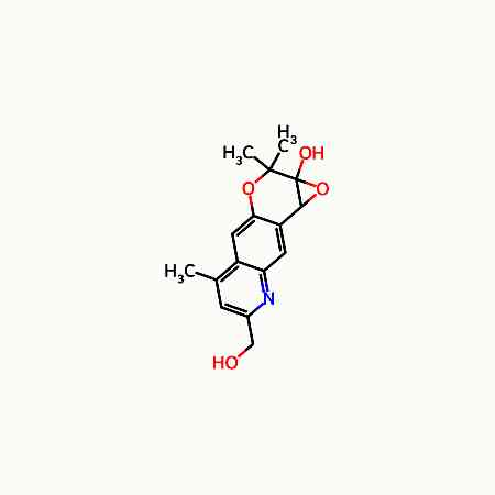 Cc1cc(CO)nc2cc3c(cc12)OC(C)(C)C1(O)OC31